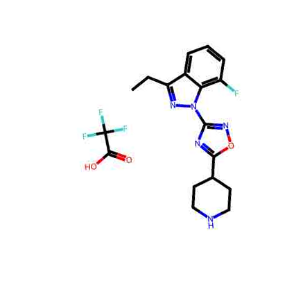 CCc1nn(-c2noc(C3CCNCC3)n2)c2c(F)cccc12.O=C(O)C(F)(F)F